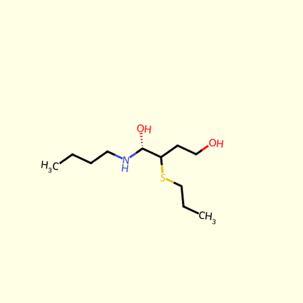 CCCCN[C@H](O)C(CCO)SCCC